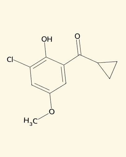 COc1cc(Cl)c(O)c(C(=O)C2CC2)c1